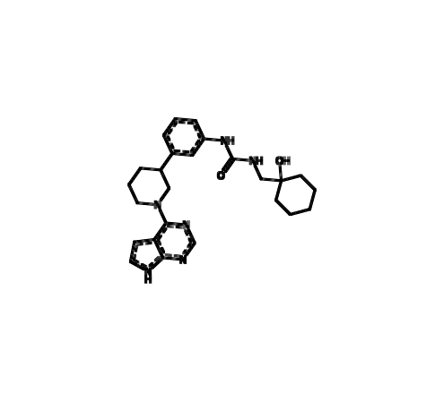 O=C(NCC1(O)CCCCC1)Nc1cccc(C2CCCN(c3ncnc4[nH]ccc34)C2)c1